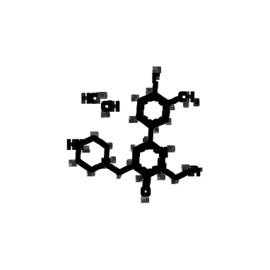 Cc1cc(-c2cc(CN3CCNCC3)c(=O)n(CC(C)C)n2)ccc1F.Cl.Cl